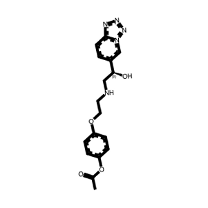 CC(=O)Oc1ccc(OCCNC[C@H](O)c2ccc3nnnn3c2)cc1